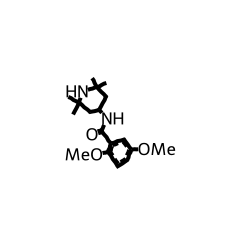 COc1ccc(OC)c(C(=O)NC2CC(C)(C)NC(C)(C)C2)c1